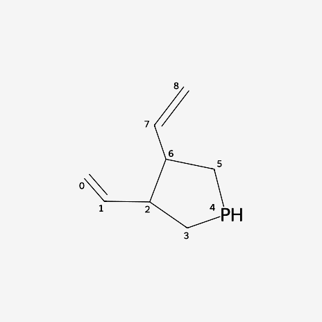 C=CC1CPCC1C=C